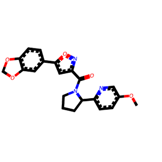 COc1ccc(C2CCCN2C(=O)c2cc(-c3ccc4c(c3)OCO4)on2)nc1